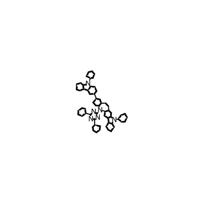 C1=Cc2cc3c(cc2N(c2nc(-c4ccccc4)nc(-c4ccccc4)n2)c2ccc(-c4ccc5c(c4)c4ccccc4n5-c4ccccc4)cc21)c1ccccc1n3-c1ccccc1